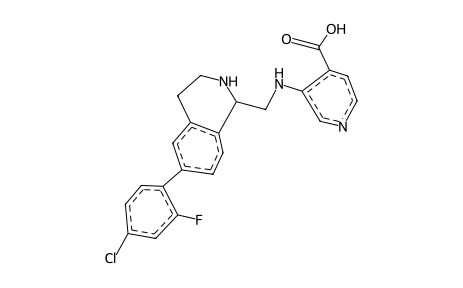 O=C(O)c1ccncc1NCC1NCCc2cc(-c3ccc(Cl)cc3F)ccc21